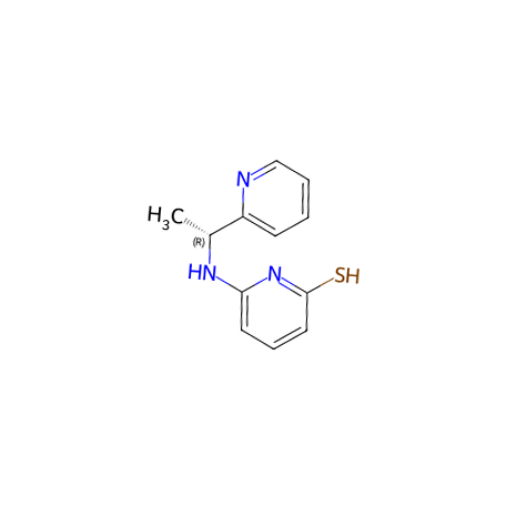 C[C@@H](Nc1cccc(S)n1)c1ccccn1